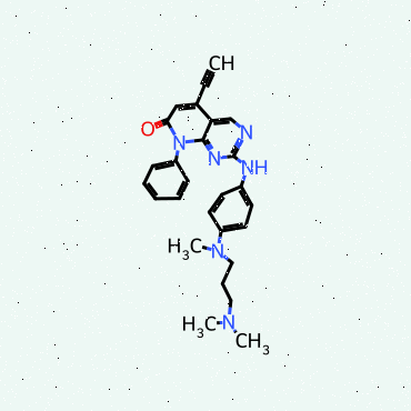 C#Cc1cc(=O)n(-c2ccccc2)c2nc(Nc3ccc(N(C)CCCN(C)C)cc3)ncc12